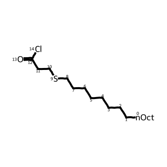 CCCCCCCCCCCCCCCCSCCC(=O)Cl